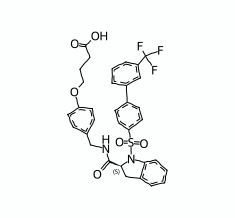 O=C(O)CCCOc1ccc(CNC(=O)[C@@H]2Cc3ccccc3N2S(=O)(=O)c2ccc(-c3cccc(C(F)(F)F)c3)cc2)cc1